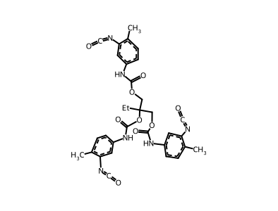 CCC(COC(=O)Nc1ccc(C)c(N=C=O)c1)(COC(=O)Nc1ccc(C)c(N=C=O)c1)OC(=O)Nc1ccc(C)c(N=C=O)c1